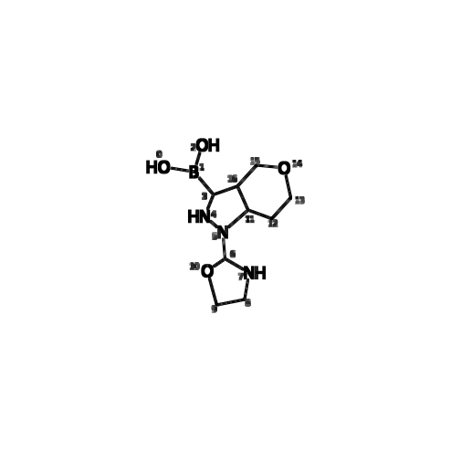 OB(O)C1NN(C2NCCO2)C2CCOCC12